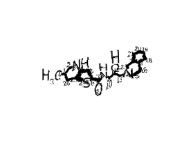 CC1CNc2cc(C(=O)NCC(O)CN3CCc4ccccc4C3)sc2C1